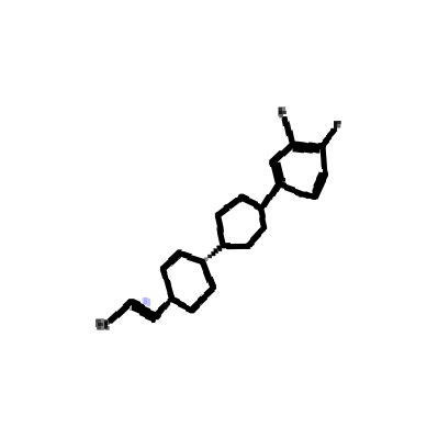 CC/C=C/[C@H]1CC[C@H](C2CCC(c3ccc(F)c(F)c3)CC2)CC1